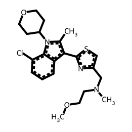 COCCN(C)Cc1csc(-c2c(C)n(C3CCOCC3)c3c(Cl)cccc23)n1